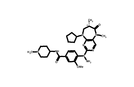 COc1cc(C(=O)NC2CCN(C)CC2)ccc1N(N)c1ncc2c(n1)N(C1CCCC1)C[C@H](C)C(=O)N2C